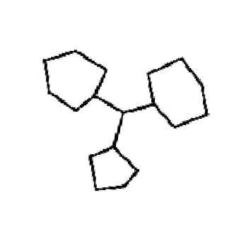 C1CCC(C([C]2CCCC2)C2CCCCC2)CC1